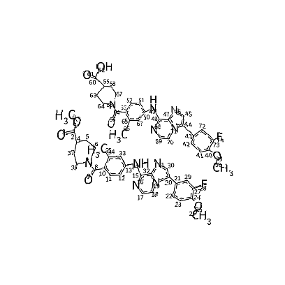 COC(=O)C1CCN(C(=O)c2ccc(Nc3nccn4c(-c5ccc(OC)c(F)c5)cnc34)cc2C)CC1.COc1ccc(-c2cnc3c(Nc4ccc(C(=O)N5CCC(C(=O)O)CC5)c(C)c4)nccn23)cc1F